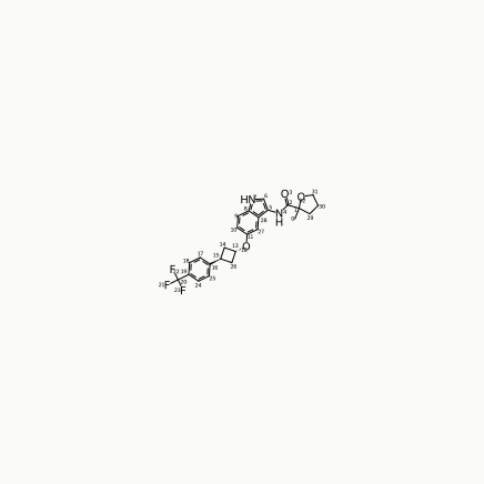 CC1(C(=O)Nc2c[nH]c3ccc(O[C@H]4C[C@H](c5ccc(C(F)(F)F)cc5)C4)cc23)CCCO1